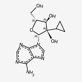 Nc1ncnc2c1ncn2[C@@H]1O[C@H](CO)[C@@H](O)[C@]1(O)C1CC1